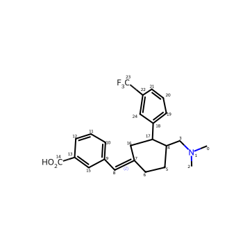 CN(C)CC1CC/C(=C/c2cccc(C(=O)O)c2)CC1c1cccc(C(F)(F)F)c1